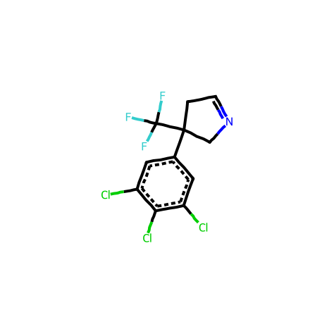 FC(F)(F)C1(c2cc(Cl)c(Cl)c(Cl)c2)CC=NC1